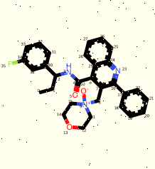 CCC(NC(=O)c1c(C[N+]2([O-])CCOCC2)c(-c2ccccc2)nc2ccccc12)c1cccc(F)c1